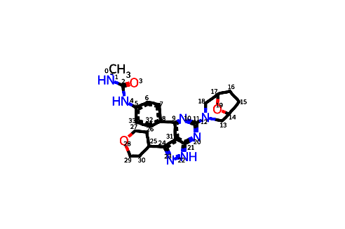 CNC(=O)Nc1ccc(-c2nc(N3CC4CCC(C3)O4)nc3[nH]nc(C4CCOCC4)c23)cc1